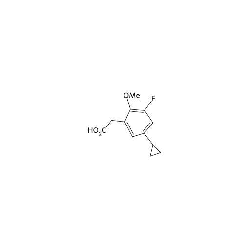 COc1c(F)cc(C2CC2)cc1CC(=O)O